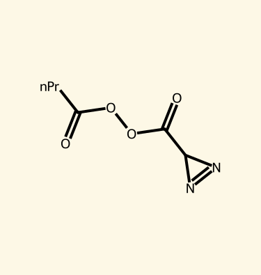 CCCC(=O)OOC(=O)C1N=N1